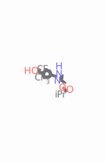 CC(C)C(=O)OCc1c[nH]c(-c2ccc(C(O)(C(F)(F)F)C(F)(F)F)cc2)n1